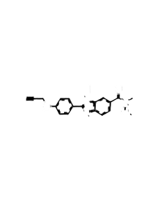 C#CCOc1ccc(-c2nc3ccc(C(=O)N(C)OC)cc3[nH]2)cc1